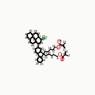 C=C(C)C(=O)OCCCCCC1(CCCCCOC(=O)C(=C)C)c2ccccc2-c2ccc(-c3cc(Br)c4ccc5cccc6ccc3c4c56)cc21